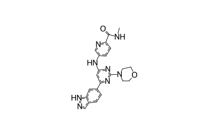 CNC(=O)c1ccc(Nc2cc(-c3ccc4cn[nH]c4c3)nc(N3CCOCC3)n2)cn1